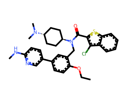 CCOc1ccc(-c2ccc(NC)nc2)cc1CN(C(=O)c1sc2ccccc2c1Cl)[C@H]1CC[C@H](N(C)C)CC1